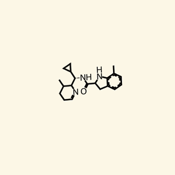 Cc1cccc2c1NC(C(=O)N[C@@H](C1CC1)C1N=CCCC1C)C2